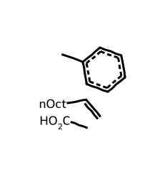 C=CCCCCCCCC.CC(=O)O.Cc1ccccc1